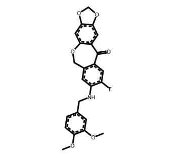 COc1ccc(CNc2cc3c(cc2F)C(=O)c2cc4c(cc2OC3)OCO4)cc1OC